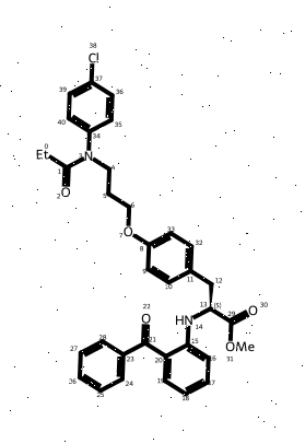 CCC(=O)N(CCCOc1ccc(C[C@H](Nc2ccccc2C(=O)c2ccccc2)C(=O)OC)cc1)c1ccc(Cl)cc1